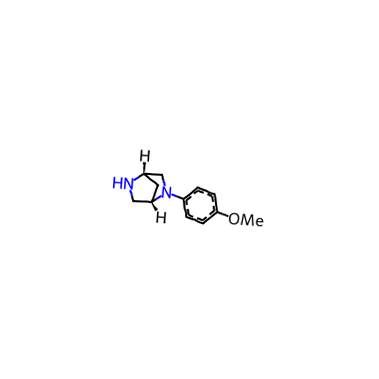 COc1ccc(N2C[C@@H]3C[C@H]2CN3)cc1